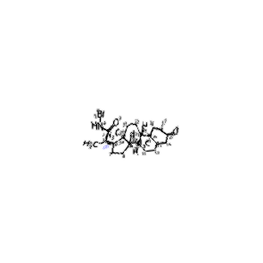 C/C(C(=O)NBr)=C1\CC[C@H]2[C@@H]3CCC4=CC(=O)CC[C@]4(C)[C@H]3CC[C@]12C